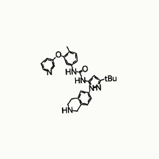 Cc1ccc(NC(=O)Nc2cc(C(C)(C)C)nn2-c2ccc3c(c2)CCNC3)cc1Oc1cccnc1